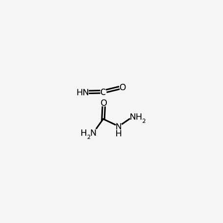 N=C=O.NNC(N)=O